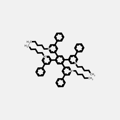 CCCCC[n+]1cc(-c2ccccc2)cc(-c2cc(-c3cc(-c4ccccc4)c[n+](CCCCC)c3)c(-c3cc(-c4ccccc4)c[n+](CCCCC)c3)cc2-c2cc(-c3ccccc3)c[n+](CCCCC)c2)c1